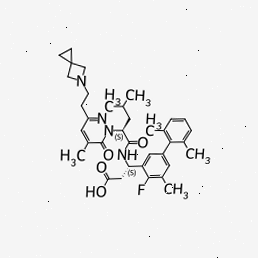 Cc1cc(-c2c(C)cccc2C)cc([C@H](CC(=O)O)NC(=O)[C@H](CC(C)C)n2nc(CCN3CC4(CC4)C3)cc(C)c2=O)c1F